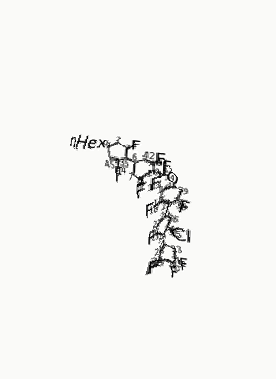 CCCCCCc1cc(F)c(-c2cc(F)c(C(F)(F)Oc3cc(F)c(-c4cc(F)c(-c5cc(F)c(F)c(F)c5)c(Cl)c4)c(F)c3)c(F)c2)c(F)c1